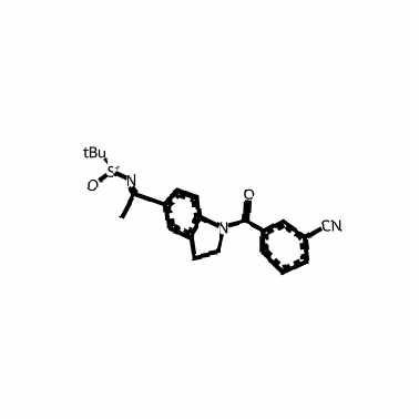 C/C(=N\[S@+]([O-])C(C)(C)C)c1ccc2c(c1)CCN2C(=O)c1cccc(C#N)c1